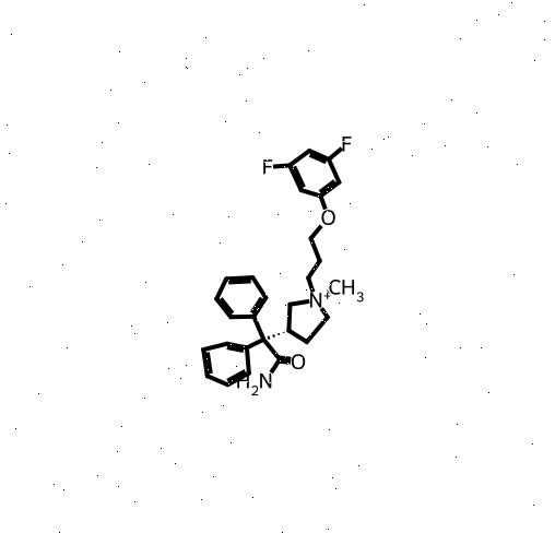 C[N+]1(CCCOc2cc(F)cc(F)c2)CC[C@H](C(C(N)=O)(c2ccccc2)c2ccccc2)C1